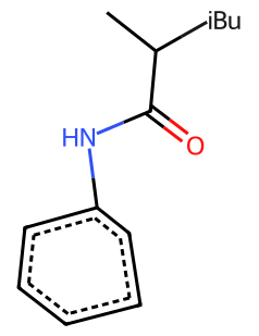 CCC(C)C(C)C(=O)Nc1ccccc1